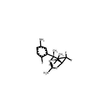 CC(C)(O)[C@@]12SC(N)=N[C@](C)(c3cc(N)ccc3F)C1C2(F)F